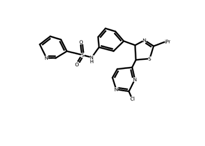 CC(C)C1=NC(c2cccc(NS(=O)(=O)c3cccnc3)c2)C(c2ccnc(Cl)n2)S1